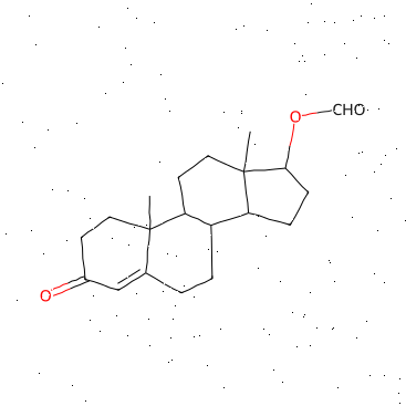 CC12CCC(=O)C=C1CCC1C2CCC2(C)C(OC=O)CCC12